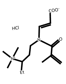 C=C(C)C(=O)N(C=CC(=O)[O-])CCC(CC)[N+](C)(C)C.Cl